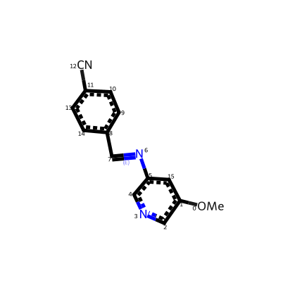 COc1cncc(/N=C/c2ccc(C#N)cc2)c1